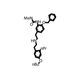 CCCCOc1ccc(CCNCCc2ccc(OCc3ccccc3)c(NC(=O)NC)c2)c(CCC)c1